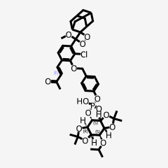 COC1(c2ccc(/C=C/C(C)=O)c(OCc3ccc(OP(=O)(O)O[C@@H]4[C@@H]5OC(C)(C)O[C@@H]5[C@@H](OC(C)C)[C@@H]5OC(C)(C)O[C@H]54)cc3)c2Cl)OOC12C1CC3CC(C1)CC2C3